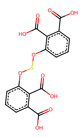 O=C(O)c1cccc(OSOc2cccc(C(=O)O)c2C(=O)O)c1C(=O)O